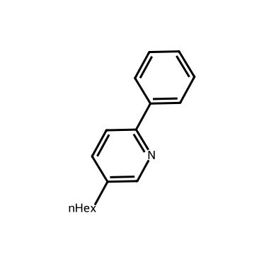 CCCCCCc1ccc(-c2ccccc2)nc1